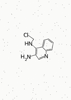 Nc1cnc2ccccc2c1NCCl